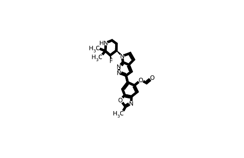 Cc1nc2cc(OC=O)c(-c3cc4ccn([C@@H]5CCNC(C)(C)[C@@H]5F)c4nn3)cc2o1